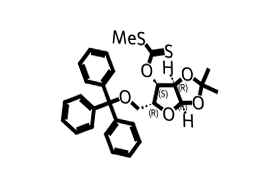 CSC(=S)O[C@@H]1[C@H]2OC(C)(C)O[C@H]2O[C@@H]1COC(c1ccccc1)(c1ccccc1)c1ccccc1